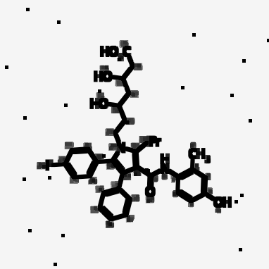 Cc1cc(O)ccc1NC(=O)c1c(-c2ccccc2)c(-c2ccc(F)cc2)n(CCC(O)CC(O)CC(=O)O)c1C(C)C